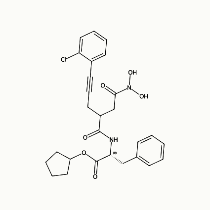 O=C(N[C@H](Cc1ccccc1)C(=O)OC1CCCC1)C(CC#Cc1ccccc1Cl)CC(=O)N(O)O